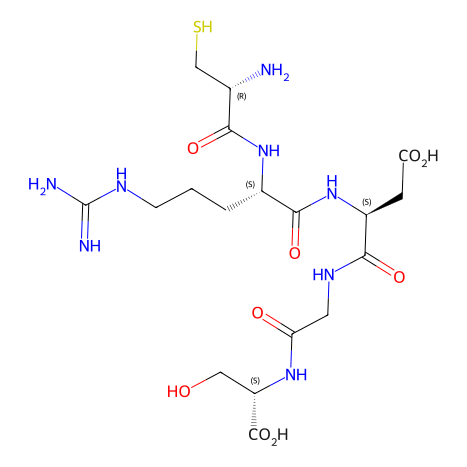 N=C(N)NCCC[C@H](NC(=O)[C@@H](N)CS)C(=O)N[C@@H](CC(=O)O)C(=O)NCC(=O)N[C@@H](CO)C(=O)O